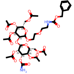 CC(=O)OC[C@@H]1OC(OCCOCCNC(=O)OCc2ccccc2)[C@@H](O[C@H]2O[C@H](COC(C)=O)[C@@H](OC(C)=O)[C@H](OC(N)=O)[C@@H]2OC(C)=O)[C@@H](OC(C)=O)[C@@H]1OC(C)=O